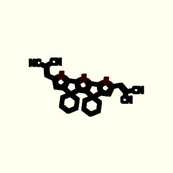 N#CC(C#N)=Cc1cc2c(s1)-c1sc3c(c1C21CCCCC1)C1(CCCCC1)c1cc(C=C(C#N)C#N)sc1-3